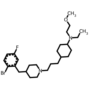 CCN(CCOC)C1CCC(CCCN2CCC(Cc3cc(F)ccc3Br)CC2)CC1